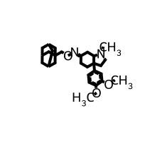 COc1ccc(C23CC/C(=N\OCC45CC6CC(CC(C6)C4)C5)CC2N(C)CC3)cc1OC